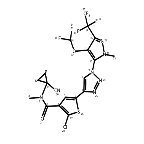 CN(C(=O)c1cc(-c2cn(-c3c(OC(F)F)c(C(F)(F)C(F)(F)F)nn3C)nn2)sc1Cl)C1(C#N)CC1